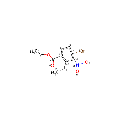 CCOC(=O)c1ccc(Br)c([N+](=O)[O-])c1CC